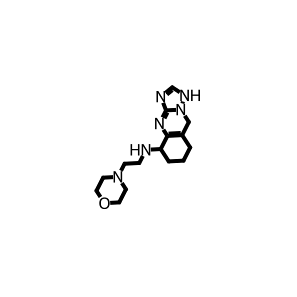 C1=NC2=NC3=C(CCCC3NCCN3CCOCC3)CN2N1